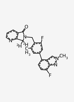 [2H]C1([2H])c2ncccc2C(=O)N1Cc1c(C)cc(-c2ccc(F)c3nn(C)cc23)cc1F